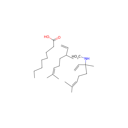 C=CC(C)(CCC=C(C)C)NC(=O)O.C=CC(C)CCC=C(C)C.CCCCCCCC(=O)O